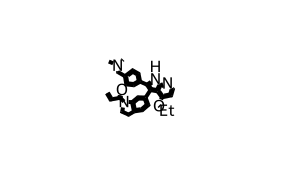 C=CC(=O)N1CCc2ccc(-c3c(-c4ccc(CN(C)C)cc4)[nH]c4nccc(OCC)c34)cc21